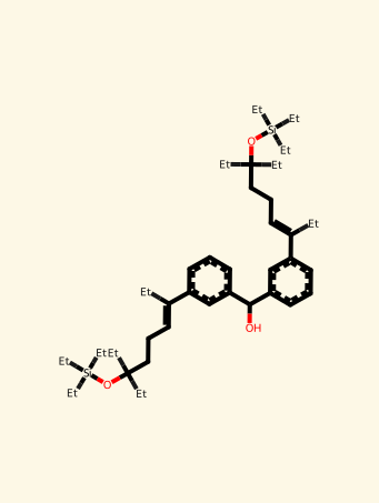 CCC(=CCCC(CC)(CC)O[Si](CC)(CC)CC)c1cccc(C(O)c2cccc(C(=CCCC(CC)(CC)O[Si](CC)(CC)CC)CC)c2)c1